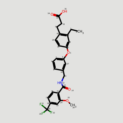 CCc1cc(Oc2cccc(CNC(=O)c3ccc(C(F)(F)F)cc3OC)c2)ccc1CCC(=O)O